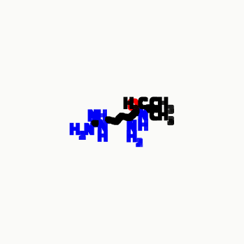 CC(C)(C)NC(=O)C(N)CCCNC(=N)N